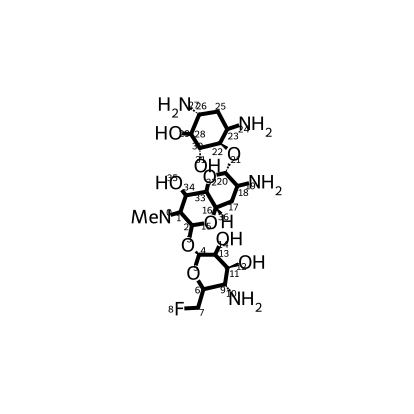 CNC1C(O[C@H]2OC(CF)[C@@H](N)[C@H](O)C2O)O[C@H]2CC(N)[C@@H](O[C@@H]3C(N)C[C@@H](N)C(O)[C@H]3O)OC2C1O